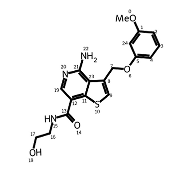 COc1cccc(OCc2csc3c(C(=O)NCCO)cnc(N)c23)c1